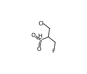 O=[SH](=O)C(CF)CCl